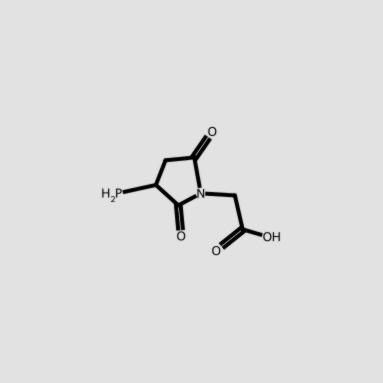 O=C(O)CN1C(=O)CC(P)C1=O